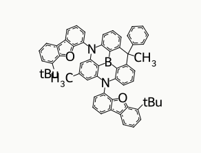 Cc1cc2c3c(c1)N(c1cccc4c1oc1c(C(C)(C)C)cccc14)c1cccc4c1B3c1c(cccc1C4(C)c1ccccc1)N2c1cccc2c1oc1c(C(C)(C)C)cccc12